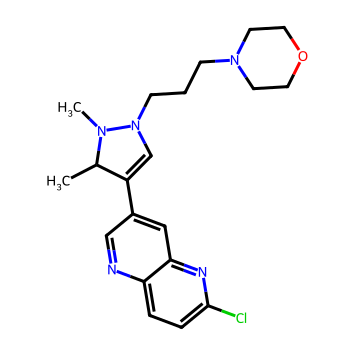 CC1C(c2cnc3ccc(Cl)nc3c2)=CN(CCCN2CCOCC2)N1C